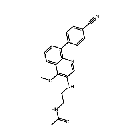 COc1c(NCCNC(C)=O)cnc2c(-c3ccc(C#N)cc3)cccc12